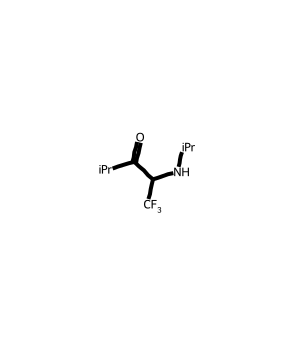 CC(C)NC(C(=O)C(C)C)C(F)(F)F